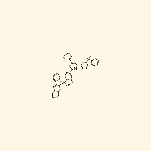 CC1(C)c2ccccc2-c2ccc(-c3cc(-c4ccccc4)nc(-c4ccc5c(-n6c7ccccc7c7cc8ccccc8cc76)cccc5c4)n3)cc21